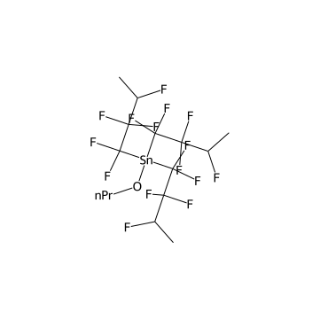 CCC[O][Sn]([C](F)(F)C(F)(F)C(C)F)([C](F)(F)C(F)(F)C(C)F)[C](F)(F)C(F)(F)C(C)F